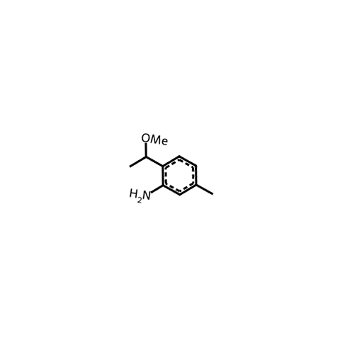 COC(C)c1ccc(C)cc1N